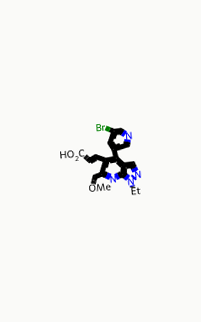 CCn1ncc2c(-c3cncc(Br)c3)c(C=CC(=O)O)c(COC)nc21